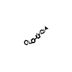 c1cc(-c2ccc(N3CCN(C4CC4)CC3)nc2)ccc1CN1CCCCC1